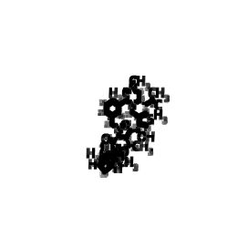 CC(C)C[C@@H](CN(C)C)N(Cc1ccsc1)Cc1cccc(CN2O[C@@H](CO)[C@@H]([C@H](C)O)[C@H]2C(=O)N[C@H]2C[C@H]3C[C@@H]([C@@H]2C)C3(C)C)c1